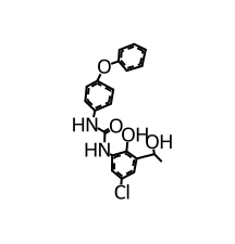 CC(O)c1cc(Cl)cc(NC(=O)Nc2ccc(Oc3ccccc3)cc2)c1O